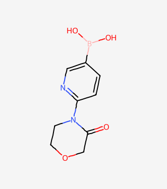 O=C1COCCN1c1ccc(B(O)O)cn1